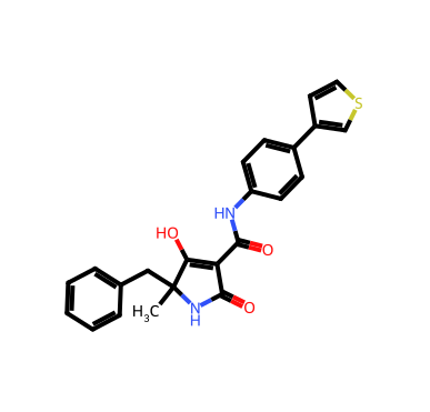 CC1(Cc2ccccc2)NC(=O)C(C(=O)Nc2ccc(-c3ccsc3)cc2)=C1O